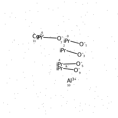 CC(C)[O-].CC(C)[O-].CC(C)[O-].CC(C)[O-].CC(C)[O-].[Al+3].[Co+2]